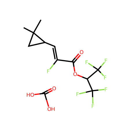 CC1(C)CC1C=C(F)C(=O)OC(C(F)(F)F)C(F)(F)F.O=C(O)O